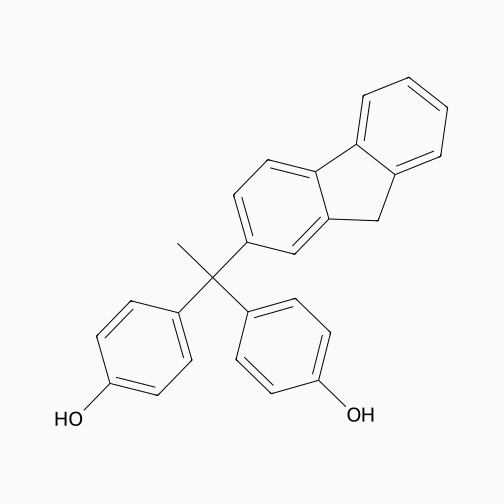 CC(c1ccc(O)cc1)(c1ccc(O)cc1)c1ccc2c(c1)Cc1ccccc1-2